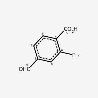 O=Cc1ccc(C(=O)O)c(F)c1